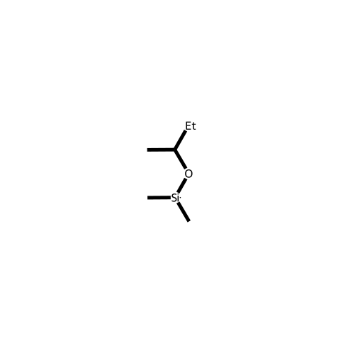 CCC(C)O[Si](C)C